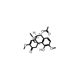 COC1=CC2[C@@H]3[C@H](OC(C)=O)c4ccc(OC)c(O)c4[C@]2(CCN3C)CC1=O